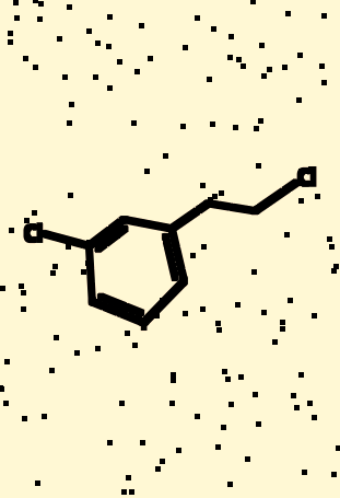 ClCCc1c[c]cc(Cl)c1